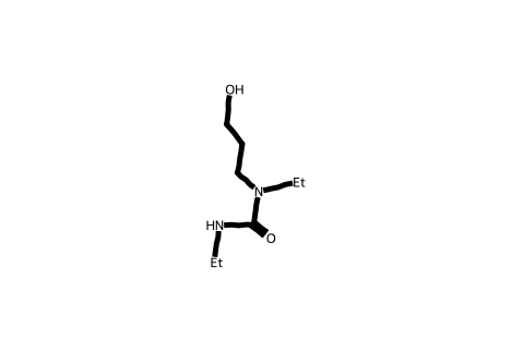 CCNC(=O)N(CC)CCCO